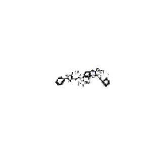 CO/C(=C/c1ccc(OCCc2nc(-c3ccccc3)oc2C)c(OC)c1)C(=O)OCc1ccccc1